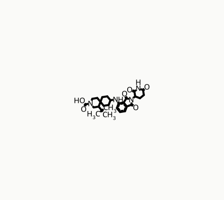 CC(C)(C)C1CN(C(=O)O)CCC12CCC(Nc1cccc3c1C(=O)N(C1CCC(=O)NC1=O)C3=O)CC2